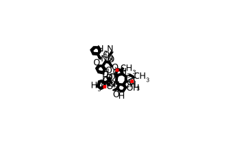 CC(=O)C[C@H]1C(=O)[C@@]2(C)[C@H]([C@H](OC(=O)c3ccccc3)[C@]3(O)C[C@H](OC(=O)[C@H](OC(=O)CN)[C@@H](NC(=O)c4ccccc4)c4ccccc4)C(C)=C1C3(C)C)[C@]1(COC(C)=O)CO[C@@H]1C[C@@H]2O